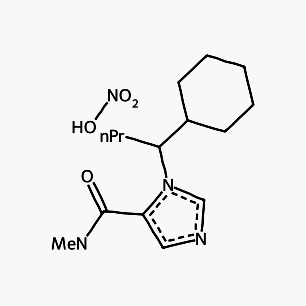 CCCC(C1CCCCC1)n1cncc1C(=O)NC.O=[N+]([O-])O